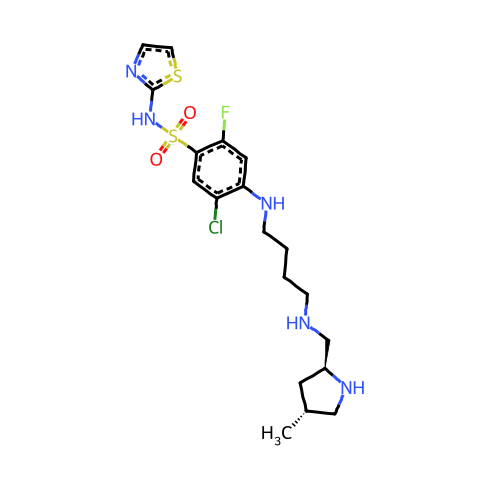 C[C@H]1CN[C@H](CNCCCCNc2cc(F)c(S(=O)(=O)Nc3nccs3)cc2Cl)C1